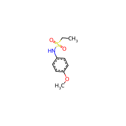 CCS(=O)(=O)Nc1ccc(OC)cc1